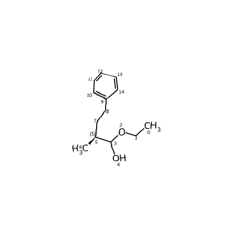 CCOC(O)[C@@H](C)CCc1ccccc1